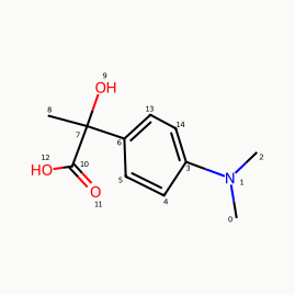 CN(C)c1ccc(C(C)(O)C(=O)O)cc1